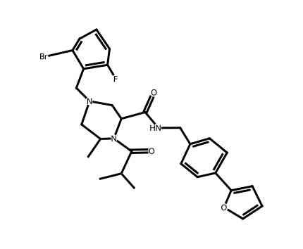 CC(C)C(=O)N1C(C)CN(Cc2c(F)cccc2Br)CC1C(=O)NCc1ccc(-c2ccco2)cc1